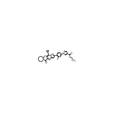 CCOC(=O)c1cnn(-c2ccc(-c3cc4nc(C(=O)N5CCCCC[C@H]5C)cc(C5CC5)n4n3)c(F)c2)c1